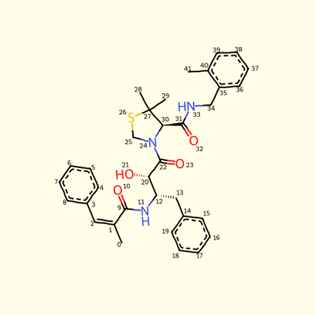 C/C(=C/c1ccccc1)C(=O)N[C@@H](Cc1ccccc1)[C@H](O)C(=O)N1CSC(C)(C)[C@H]1C(=O)NCc1ccccc1C